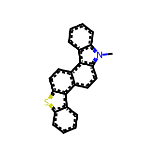 Cn1c2ccccc2c2c3ccc4sc5ccccc5c4c3ccc21